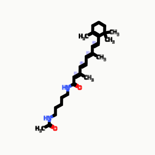 CC(=O)NCCCCCNC(=O)/C=C(C)/C=C/C=C(C)/C=C/C1=C(C)CCCC1(C)C